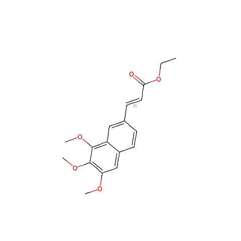 CCOC(=O)/C=C/c1ccc2cc(OC)c(OC)c(OC)c2c1